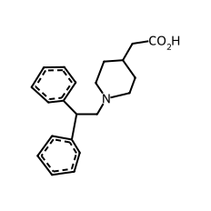 O=C(O)CC1CCN(CC(c2ccccc2)c2ccccc2)CC1